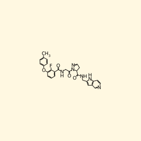 Cc1ccc(Oc2cccc(C(=O)NCC(=O)N3N=CCC3C(=O)NCc3cc4cnccc4[nH]3)c2F)cc1